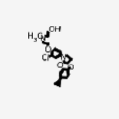 CN(CCO)CCOc1ccc(N2CC[C@H](Oc3ccc(C4CC4)cc3)C2=O)cc1Cl